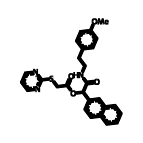 COc1ccc(CCNC(=O)C(OC(=O)CSc2ncccn2)c2ccc3ccccc3c2)cc1